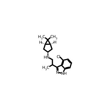 CC(CN[C@H]1C[C@@H]2[C@H](C1)C2(C)C)c1n[nH]c2cccc(Cl)c12